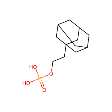 O=P(O)(O)OCCC12CC3CC(CC(C3)C1)C2